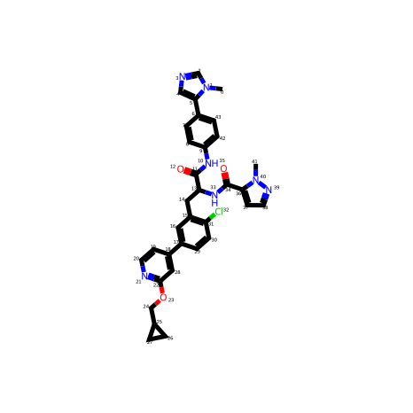 Cn1cncc1-c1ccc(NC(=O)C(Cc2cc(-c3ccnc(OCC4CC4)c3)ccc2Cl)NC(=O)c2ccnn2C)cc1